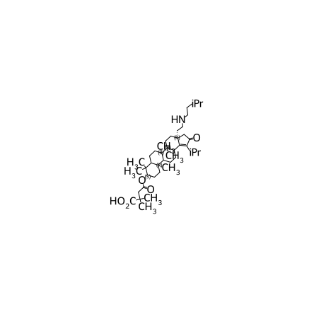 CC(C)CCNCC[C@@]12CC[C@]3(C)C(CCC4[C@@]5(C)CC[C@H](OC(=O)CC(C)(C)C(=O)O)C(C)(C)C5CC[C@]43C)C1=C(C(C)C)C(=O)C2